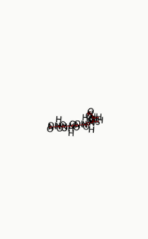 CC[C@H](C)[C@H](NC(=O)[C@H](CCCSC)NC(=O)c1ccc(C(=O)NCCCCCN(O)C(=O)CCC(=O)NCCCCCN(O)C(=O)CCC(=O)NCCCCCN(O)C(C)=O)cc1)C(=O)NCCN1C(=O)C=CC1=O